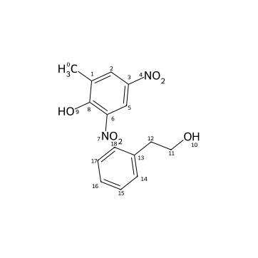 Cc1cc([N+](=O)[O-])cc([N+](=O)[O-])c1O.OCCc1ccccc1